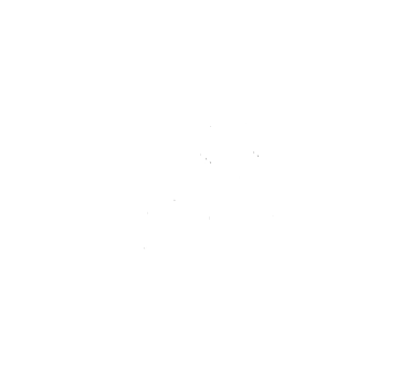 CC(C)Cc1nccn1Cc1ccccc1